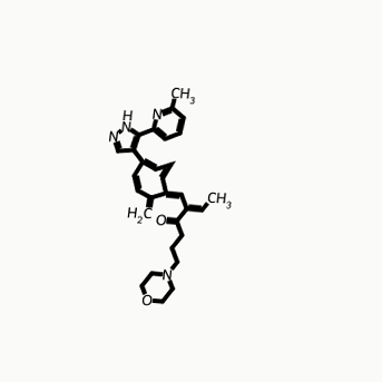 C=C1\C=C/C(c2cn[nH]c2-c2cccc(C)n2)=C/C=C/C1=C/C(=C\C)C(=O)CCCN1CCOCC1